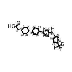 O=C(O)C[C@H]1CC[C@H](c2ccc(-c3cnc(Nc4ccc(C(F)(F)F)nc4)cn3)cc2)CC1